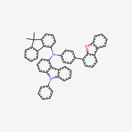 CC1(C)c2ccccc2-c2c(N(c3ccc(-c4cccc5c4oc4ccccc45)cc3)c3cccc4c3c3ccccc3n4-c3ccccc3)cccc21